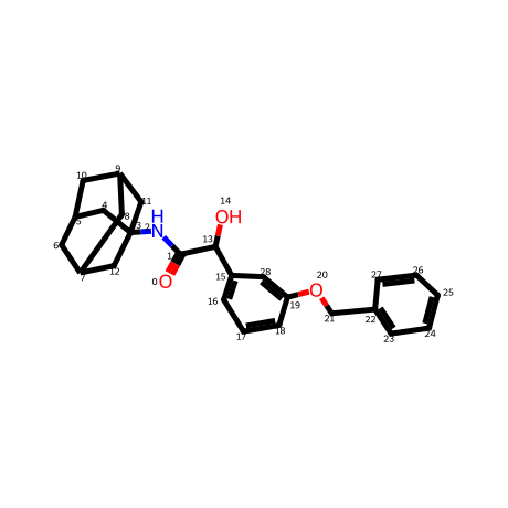 O=C(NC12CC3CC(CC(C3)C1)C2)C(O)c1cccc(OCc2ccccc2)c1